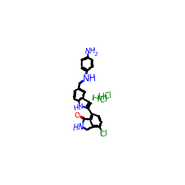 Cl.Cl.Nc1ccc(NCc2ccc3[nH]c(-c4ccc(Cl)c5c4C(=O)NC5)cc3c2)cc1